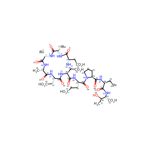 CC[C@H](C)[C@H](NC(=O)[C@@H](NC(=O)[C@@H](N)CC(=O)O)[C@@H](C)CC)C(=O)N[C@@H](C)C(=O)N[C@@H](CC(=O)O)C(=O)N[C@@H](CC(=O)O)C(=O)N[C@@H](CCC(=O)O)C(=O)N1CCC[C@H]1C(=O)N[C@@H](CC(C)C)C(=O)N[C@H](C(=O)O)[C@@H](C)O